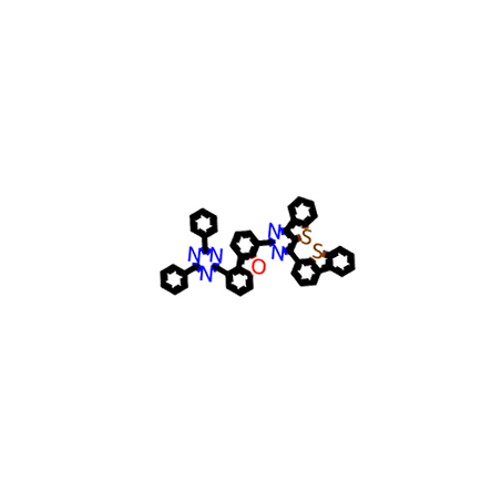 c1ccc(-c2nc(-c3ccccc3)nc(-c3cccc4oc5c(-c6nc(-c7cccc8c7sc7ccccc78)c7sc8ccccc8c7n6)cccc5c34)n2)cc1